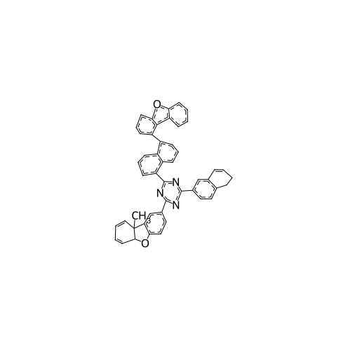 CC12C=CC=CC1Oc1ccc(-c3nc(-c4ccc5c(c4)C=CCC5)nc(-c4cccc5c(-c6cccc7oc8ccccc8c67)cccc45)n3)cc12